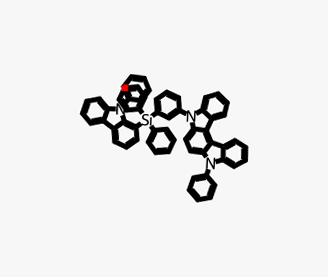 c1ccc(-n2c3ccccc3c3c4c5ccccc5n(-c5cccc([Si](c6ccccc6)(c6ccccc6)c6cccc7c8ccccc8n(-c8ccccc8)c67)c5)c4ccc32)cc1